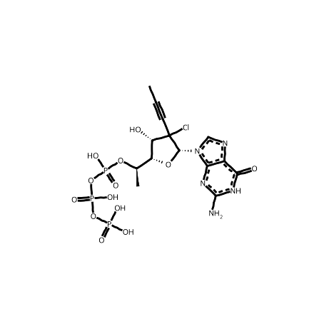 CC#CC1(Cl)[C@@H](O)[C@@H]([C@@H](C)OP(=O)(O)OP(=O)(O)OP(=O)(O)O)O[C@H]1n1cnc2c(=O)[nH]c(N)nc21